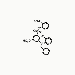 CC(=O)Nc1ccccc1NS(=O)(=O)c1cc(C(=O)O)cc(NCc2ccccc2)c1Oc1ccccc1